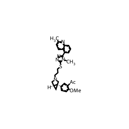 COc1ccc([C@]23C[C@H]2CN(CCCSc2nnc(-c4cccc5nc(C)ccc45)n2C)C3)cc1C(C)=O